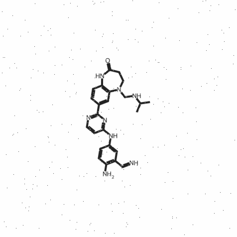 CC(C)NCN1CCC(=O)Nc2ccc(-c3nccc(Nc4ccc(N)c(C=N)c4)n3)cc21